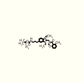 CCn1c(CN(C=O)C(=O)c2ccccc2C)[n+](CC)c2ccc(CCCNC(=O)OC(C)(C)C)cc21